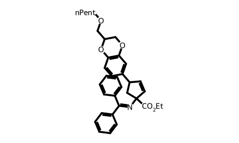 CCCCCOCC1COc2cc(C3C=CC(N=C(c4ccccc4)c4ccccc4)(C(=O)OCC)C3)ccc2O1